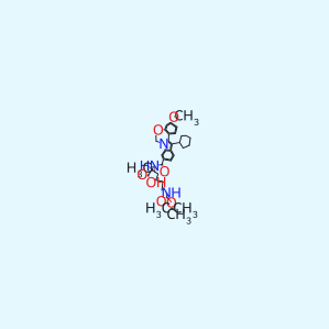 COc1ccc2c(c1)OCCn1c-2c(C2CCCCC2)c2ccc(C(=O)N[C@@](C)(CCCCNC(=O)OC(C)(C)C)C(=O)O)cc21